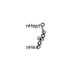 CCCCCCCC1CCCCC1CCCOc1ccc(OC(=O)c2ccc(OCCCCCC)cc2)cc1